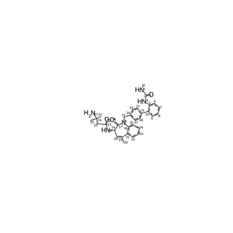 CNC(=O)Nc1ccccc1-c1ccc(CN2C(=O)C(NC(=O)CC(C)(C)N)C=C(C)c3ccccc32)cc1